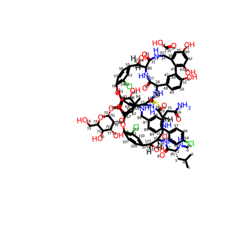 CN[C@H](CC(C)C)C(=O)N[C@H]1C(=O)N[C@@H](CC(N)=O)C(=O)N[C@H]2C(=S)N[C@H]3C(=O)N[C@H](C(=O)N[C@H](C(=O)O)c4cc(O)cc(O)c4-c4cc3ccc4O)[C@H](O)c3ccc(c(Cl)c3)Oc3cc2cc(c3O[C@@H]2OC(CO)C(O)[C@H](O)[C@H]2O[C@H]2CC(C)(NCc3ccc(-c4ccc(Cl)cc4)cc3)[C@H](O)[C@H](C)O2)Oc2ccc(cc2Cl)[C@H]1O